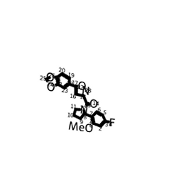 COc1cc(F)ccc1C1CCCN1C(=O)c1cc(-c2ccc3c(c2)OCO3)on1